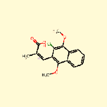 COc1c(Cl)c(/C=C(/C)C(=O)O)c(OC)c2ccccc12